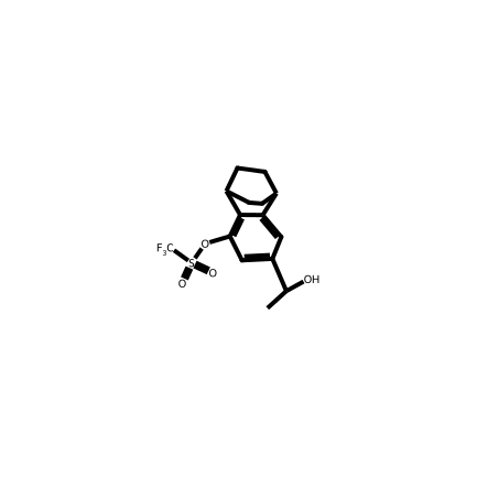 CC(O)c1cc(OS(=O)(=O)C(F)(F)F)c2c(c1)C1CCC2CC1